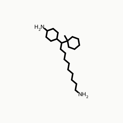 CC1(C(CCCCCCCCCN)C2CCC(N)CC2)CCCCC1